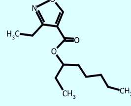 CCCCCC(CC)OC(=O)c1conc1CC